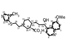 COc1ccc2nccc([C@@H](O)CC[C@@H]3CCN(CCSc4cncn4C)C[C@@H]3C(=O)O)c2c1